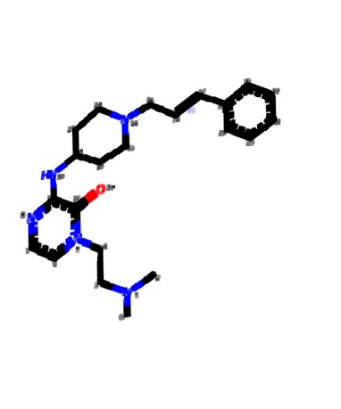 CN(C)CCn1ccnc(NC2CCN(C/C=C/c3ccccc3)CC2)c1=O